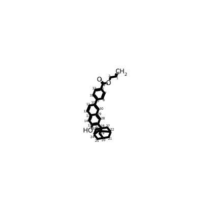 C=CCOC(=O)c1ccc(-c2ccc3cc(O)c(C45CC6CC(CC(C6)C4)C5)cc3c2)cc1